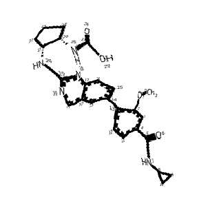 COc1cc(C(=O)NC2CC2)ccc1-c1ccc2nc(N[C@@H]3CCC[C@@H]3NC(=O)O)ncc2c1